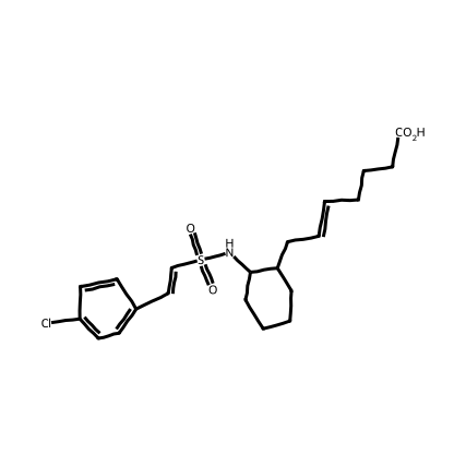 O=C(O)CCCC=CCC1CCCCC1NS(=O)(=O)C=Cc1ccc(Cl)cc1